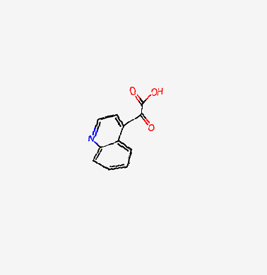 O=C(O)C(=O)c1ccnc2ccccc12